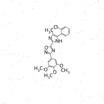 COc1cc(-c2noc(-c3nc(C)c(-c4ccccc4Cl)[nH]3)n2)cc(OC)c1OC